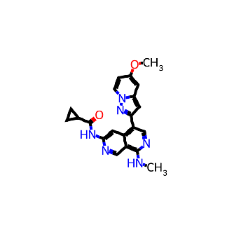 CNc1ncc(-c2cc3cc(OC)ccn3n2)c2cc(NC(=O)C3CC3)ncc12